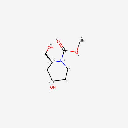 CC(C)(C)OC(=O)N1CC[C@H](O)C[C@H]1CO